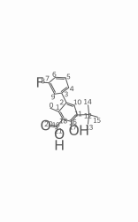 Cc1c(-c2cccc(F)c2)cc(C(C)(C)C)c(O)c1C(=O)O